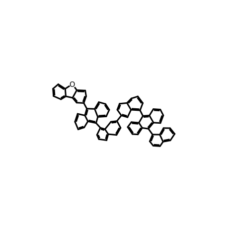 c1cc(-c2c3ccccc3c(-c3ccc4oc5ccccc5c4c3)c3ccccc23)c2cc(-c3ccc4cccc(-c5c6ccccc6c(-c6cccc7ccccc67)c6ccccc56)c4c3)ccc2c1